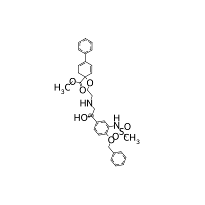 COC(=O)C1(OCCNC[C@H](O)c2ccc(OCc3ccccc3)c(NS(C)(=O)=O)c2)C=CC(c2ccccc2)=CC1